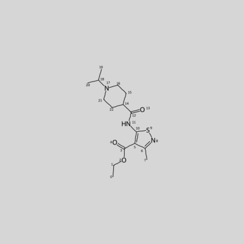 CCOC(=O)c1c(C)nsc1NC(=O)C1CCN(C(C)C)CC1